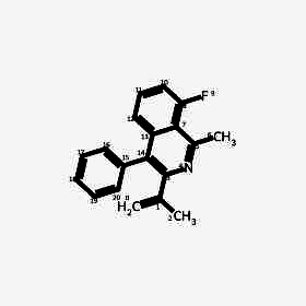 C=C(C)c1nc(C)c2c(F)cccc2c1-c1ccccc1